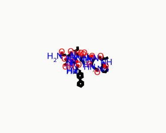 CC[C@H](C)[C@H](NC(=O)[C@@H](Cc1ccc(-c2ccccc2)cc1)NC)C(=O)N[C@@H](CO)C(=O)N[C@H](CCC(N)=O)C(=O)N[C@@H](C(=O)N[C@H](C(=O)N[C@@H](CO)C(=O)N[C@H]1C(=O)N[C@@H](C)C(=O)NC2(CCCCCC2)C(=O)N[C@@H]([C@@H](C)CC)C(=O)N[C@H]1C)[C@@H](C)CC)[C@@H](C)CC